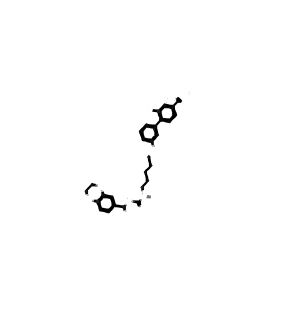 CCCc1cc(C(O)(C(F)(F)F)C(F)(F)F)ccc1-c1cccc(OCCCCCN(C=O)C(=O)NC(CC)c2ccc3c(c2)OCCO3)c1